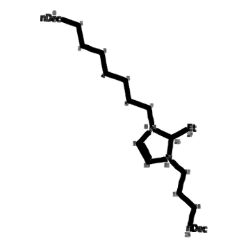 CCCCCCCCCCCCCCCCCN1C=CN(CCCCCCCCCCCCC)C1CC